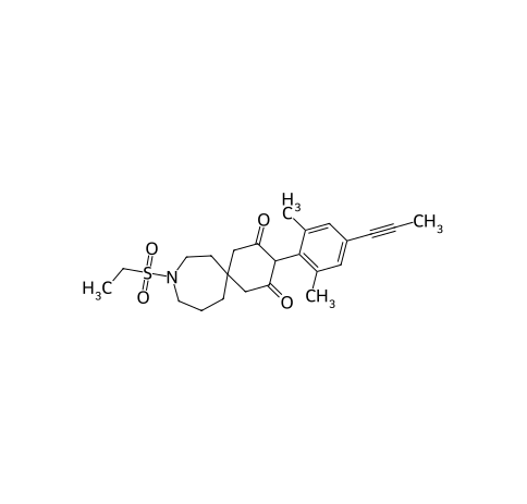 CC#Cc1cc(C)c(C2C(=O)CC3(CCCN(S(=O)(=O)CC)CC3)CC2=O)c(C)c1